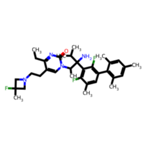 CCc1nc(=O)n(C(C)C(N)(c2c(F)c(C)cc(-c3c(C)cc(C)cc3C)c2F)C(C)C)cc1CCN1CC(C)(F)C1